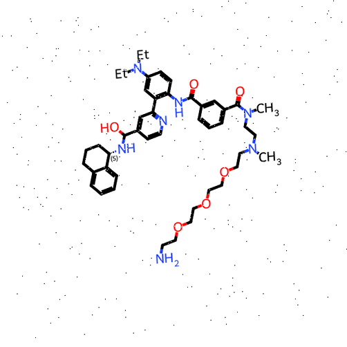 CCN(CC)c1ccc(NC(=O)c2cccc(C(=O)N(C)CCN(C)CCOCCOCCOCCN)c2)c(-c2cc(C(O)N[C@H]3CCCc4ccccc43)ccn2)c1